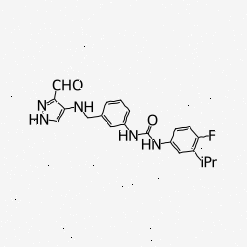 CC(C)c1cc(NC(=O)Nc2cccc(CNc3c[nH]nc3C=O)c2)ccc1F